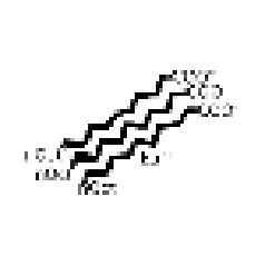 CCCCCCCCC=CCCCCCCCC(=O)[O-].CCCCCCCCC=CCCCCCCCC(=O)[O-].CCCCCCCCC=CCCCCCCCC(=O)[O-].[Eu+3]